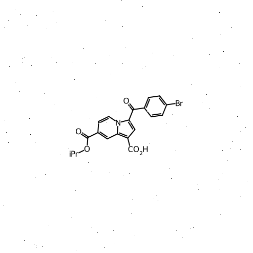 CC(C)OC(=O)c1ccn2c(C(=O)c3ccc(Br)cc3)cc(C(=O)O)c2c1